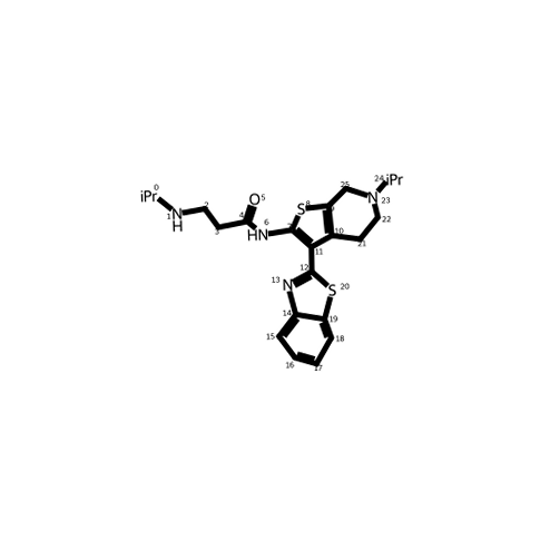 CC(C)NCCC(=O)Nc1sc2c(c1-c1nc3ccccc3s1)CCN(C(C)C)C2